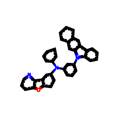 c1ccc(N(c2cccc(-n3c4ccccc4c4cc5ccccc5cc43)c2)c2ccc3oc4cccnc4c3c2)cc1